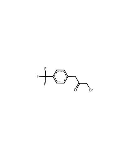 O=C(CBr)Cc1ccc(C(F)(F)F)cc1